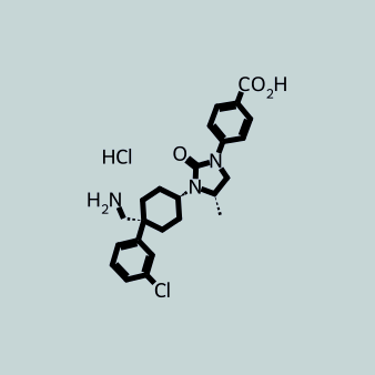 C[C@H]1CN(c2ccc(C(=O)O)cc2)C(=O)N1[C@H]1CC[C@](CN)(c2cccc(Cl)c2)CC1.Cl